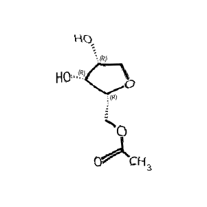 CC(=O)OC[C@H]1OC[C@@H](O)[C@H]1O